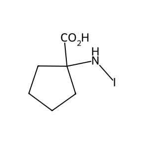 O=C(O)C1(NI)CCCC1